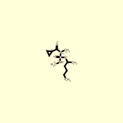 CCCCC(C)SP(=S)(NC)N(C)C(=O)C1CC1